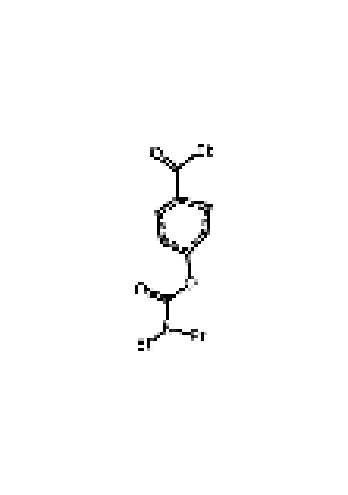 CCC(=O)c1ccc(OC(=O)N(CC)CC)cc1